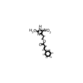 Cc1nc(CCOC(=O)/C=C/c2ccccc2)c([N+](=O)[O-])[nH]1